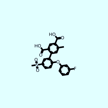 Cc1cc(-c2cc(S(C)(=O)=O)ccc2Oc2cccc(F)c2)c(C(=O)O)cc1C(=O)O